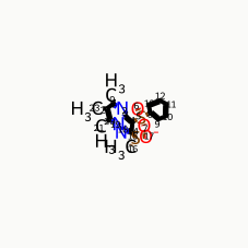 Cc1nc2c(S(=O)(=O)c3ccccc3)c([S+](C)[O-])nn2c(C)c1C